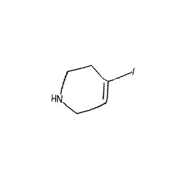 IC1=CCNCC1